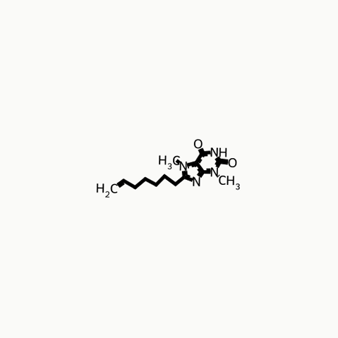 C=CCCCCCc1nc2c(c(=O)[nH]c(=O)n2C)n1C